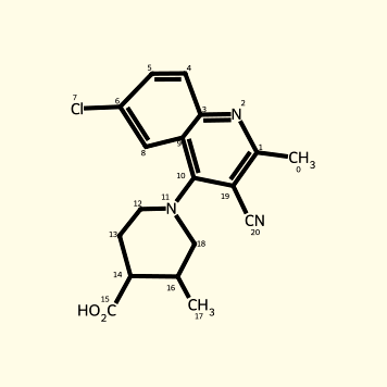 Cc1nc2ccc(Cl)cc2c(N2CCC(C(=O)O)C(C)C2)c1C#N